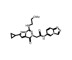 COCCNc1nn(CC(=O)Nc2ccc3nncn3c2)c(=O)c2cc(C3CC3)nn12